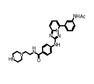 CC(=O)Nc1cccc(-c2cccc3nc(Nc4ccc(C(=O)NCCN5CCNCC5)cc4)nn23)c1